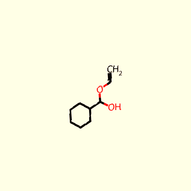 C=COC(O)C1CCCCC1